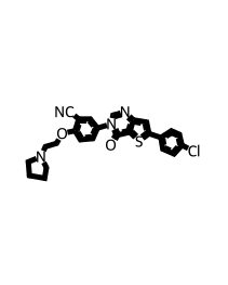 N#Cc1cc(-n2cnc3cc(-c4ccc(Cl)cc4)sc3c2=O)ccc1OCCN1CCCC1